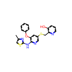 Cc1csc(Nc2ncc(SCc3ncccc3O)cc2Oc2ccccc2)n1